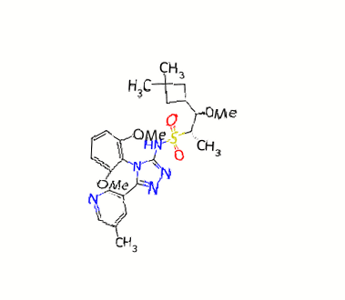 COc1cccc(OC)c1-n1c(NS(=O)(=O)[C@@H](C)[C@H](OC)C2CC(C)(C)C2)nnc1-c1cncc(C)c1